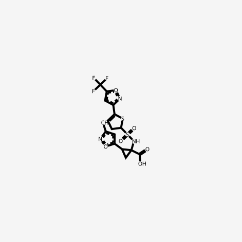 Cc1cc(C2CC2(NS(=O)(=O)C2CC=C(c3cc(C(F)(F)F)on3)S2)C(=O)O)on1